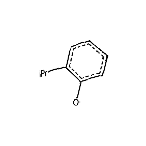 CC(C)c1ccccc1[O]